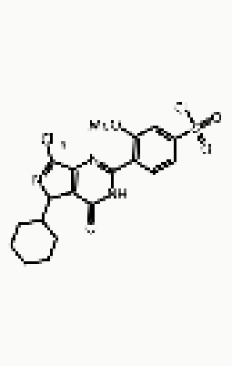 COc1cc(S(=O)(=O)Cl)ccc1-c1nc2c(c(=O)[nH]1)C(C1CCCCC1)N=C2C